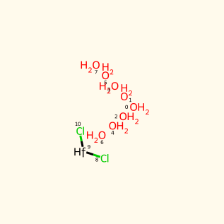 O.O.O.O.O.O.O.O.[Cl][Hf][Cl]